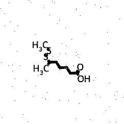 CSSC(C)CCCCC(=O)O